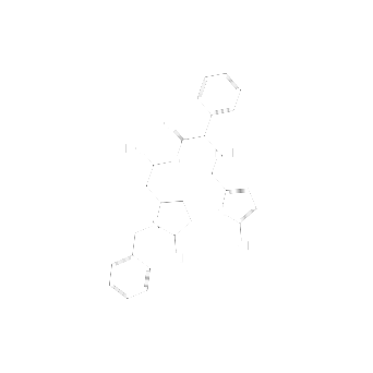 Cc1ccc(CNC(C(=O)OC(C)CC2CCC(C)N2Cc2ccccc2)c2ccccc2)s1